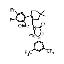 COc1cc(F)c(C(C)C)cc1C1=C(CN2C(=O)O[C@H](c3cc(C(F)(F)F)cc(C(F)(F)F)c3)[C@H]2C)CC(C)(C)CC1